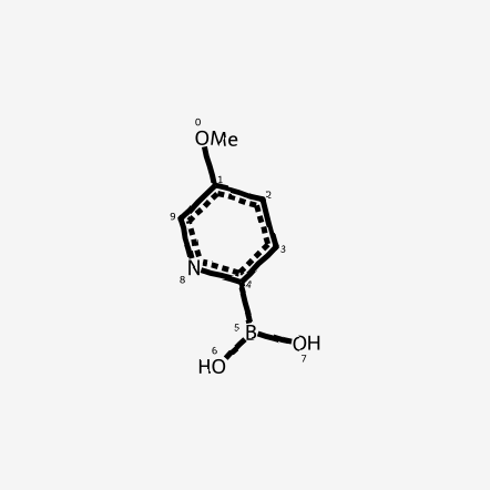 COc1ccc(B(O)O)nc1